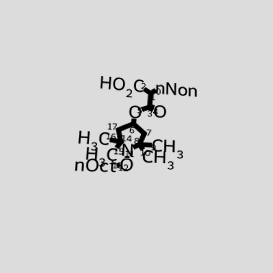 CCCCCCCCCC(C(=O)O)C(=O)OC1CC(C)(C)N(OCCCCCCCC)C(C)(C)C1